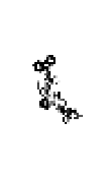 O=C(O)NCC(=O)NCc1ccccc1NC(=O)CNC(=O)OCC1c2ccccc2-c2ccccc21